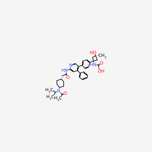 CC(=O)N(C(C)C)[C@H]1CC[C@H](CC(=O)Nc2cc(-c3ccccc3)c(-c3ccc([C@]4(NC(=O)O)C[C@@](C)(O)C4)cc3)cn2)CC1